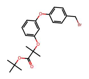 CC(C)(C)OC(=O)C(C)(C)Oc1cccc(Oc2ccc(CBr)cc2)c1